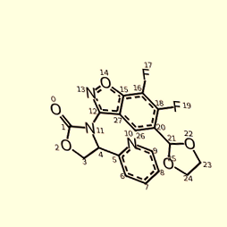 O=C1OCC(c2ccccn2)N1c1noc2c(F)c(F)c(C3OCCO3)cc12